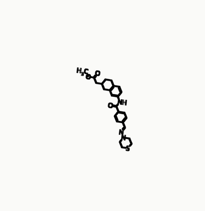 COC(=O)CC1CCc2ccc(NC(=O)c3ccc(C=NN4CCSCC4)cc3)cc2C1